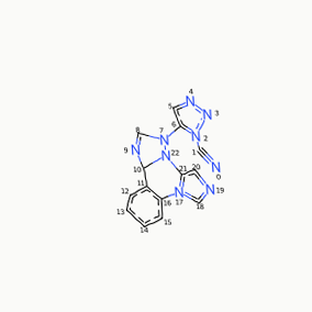 N#Cn1nncc1N1C=NC2c3ccccc3-n3cncc3N21